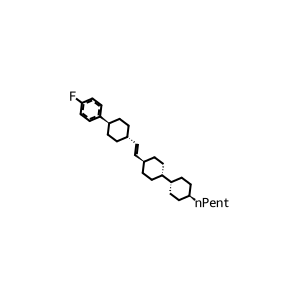 CCCCC[C@H]1CC[C@H]([C@H]2CC[C@H](C=C[C@H]3CC[C@H](c4ccc(F)cc4)CC3)CC2)CC1